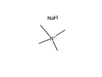 C[N+](C)(C)C.[NaH]